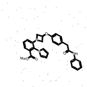 COC(=O)c1cccc(N2CC(Oc3ccc(CC(=O)Nc4ccccc4)cc3)C2)c1-n1cccc1